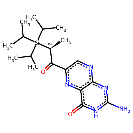 CC(C)[Si](C(C)C)(C(C)C)[C@@H](C)C(=O)c1cnc2nc(N)[nH]c(=O)c2n1